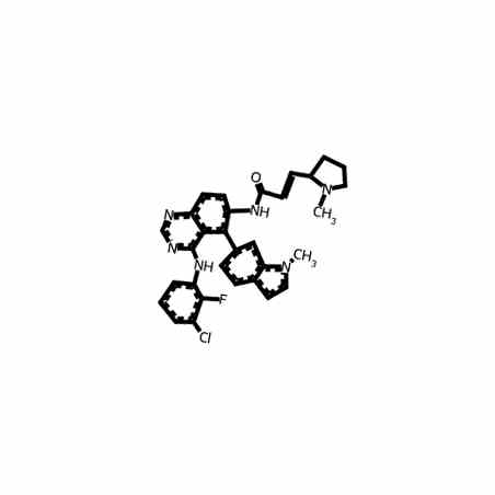 CN1CCCC1C=CC(=O)Nc1ccc2ncnc(Nc3cccc(Cl)c3F)c2c1-c1ccc2ccn(C)c2c1